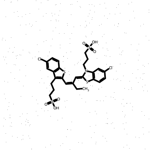 CCC(=Cc1sc2ccc(Cl)cc2c1CCCS(=O)(=O)O)C=C1Sc2ccc(Cl)cc2N1CCCS(=O)(=O)O